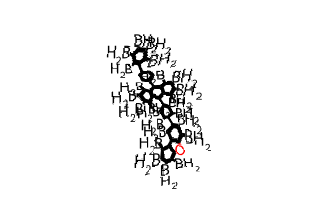 Bc1c(B)c(B)c(-c2ccc(-c3c4c(B)c(B)c(B)c(B)c4c(-c4c(B)c(B)c(-c5c(B)c(B)c6oc7c(B)c(B)c(B)c(B)c7c6c5B)c(B)c4B)c4c(B)c(B)c(B)c(B)c34)cc2)c(B)c1B